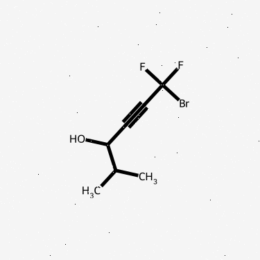 CC(C)C(O)C#CC(F)(F)Br